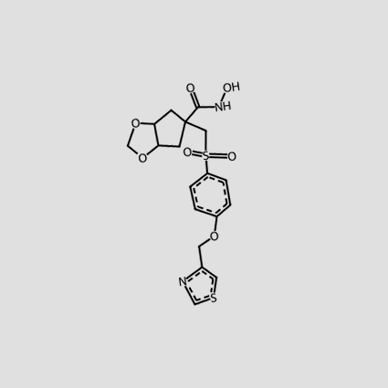 O=C(NO)C1(CS(=O)(=O)c2ccc(OCc3cscn3)cc2)CC2OCOC2C1